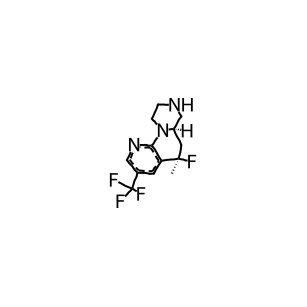 C[C@@]1(F)C[C@@H]2CNCCN2c2ncc(C(F)(F)F)cc21